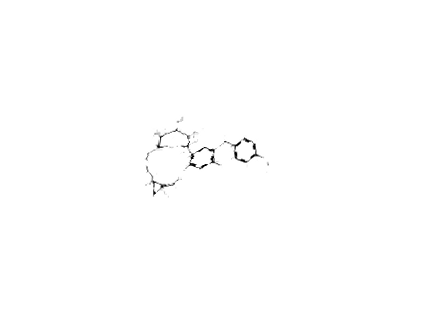 CCOc1ccc(Cc2cc3c(cc2Cl)OC[C@H]2C[C@H]2COC[C@H]2O[C@@H]3[C@H](O)[C@@H](O)[C@@H]2O)cc1